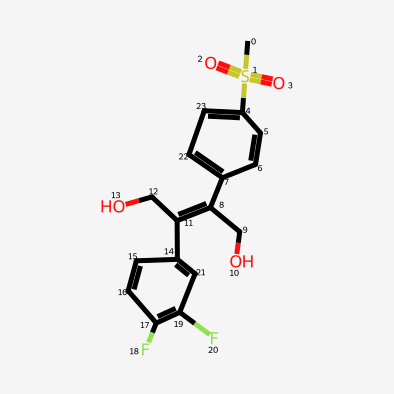 CS(=O)(=O)c1ccc(C(CO)=C(CO)c2ccc(F)c(F)c2)cc1